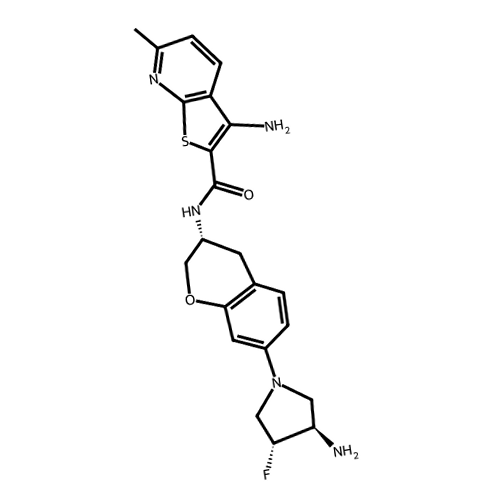 Cc1ccc2c(N)c(C(=O)N[C@H]3COc4cc(N5C[C@@H](N)[C@H](F)C5)ccc4C3)sc2n1